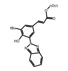 CCCCCCCCOC(=O)C=Cc1cc(-n2nc3ccccc3n2)c(O)c(C(C)(C)C)c1